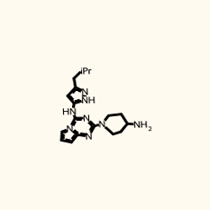 CC(C)Cc1cc(Nc2nc(N3CCC(N)CC3)nc3cccn23)[nH]n1